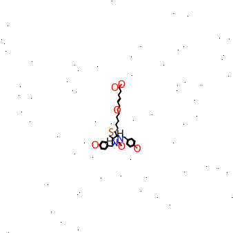 COC(=O)CCC=CCOCCCCC[C@@H]1SC[C@H]2[C@@H]1N(Cc1ccc(OC)cc1)C(=O)N2Cc1ccc(OC)cc1